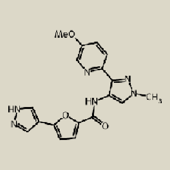 COc1ccc(-c2nn(C)cc2NC(=O)c2ccc(-c3cn[nH]c3)o2)nc1